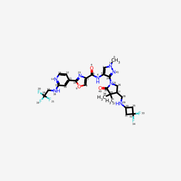 Cn1cc(NC(=O)c2coc(-c3ccnc(NCC(F)(F)F)c3)n2)c(N2CC(CNC3CC(F)(F)C3)C(C)(C)C2=O)n1